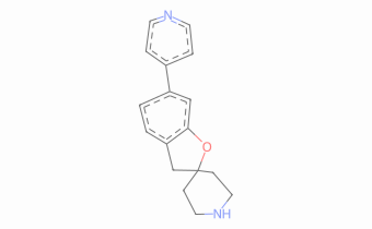 c1cc(-c2ccc3c(c2)OC2(CCNCC2)C3)ccn1